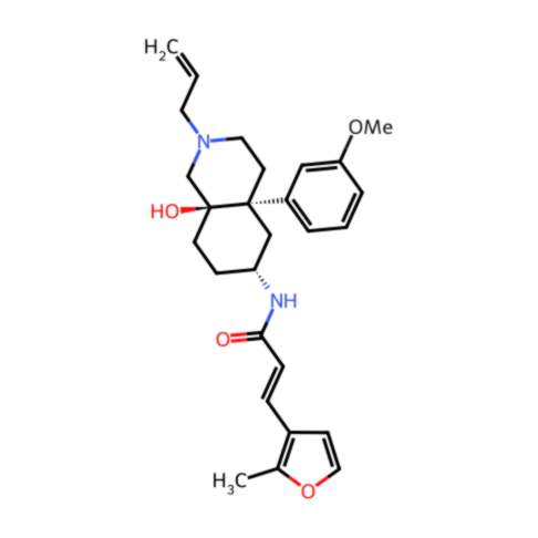 C=CCN1CC[C@@]2(c3cccc(OC)c3)C[C@H](NC(=O)C=Cc3ccoc3C)CC[C@]2(O)C1